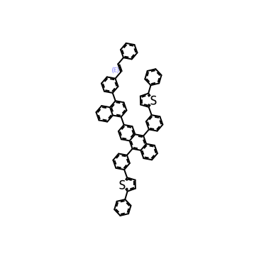 C(=C\c1cccc(-c2ccc(-c3ccc4c(-c5cccc(-c6ccc(-c7ccccc7)s6)c5)c5ccccc5c(-c5cccc(-c6ccc(-c7ccccc7)s6)c5)c4c3)c3ccccc23)c1)/c1ccccc1